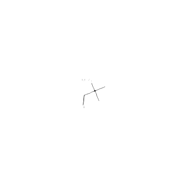 [CH2]CCCC(C)(C)NC